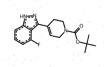 CC(C)(C)OC(=O)N1CC=C(c2n[nH]c3cccc(F)c23)CC1